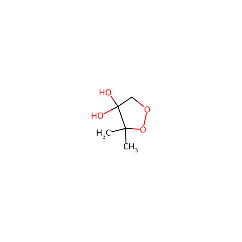 CC1(C)OOCC1(O)O